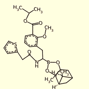 COc1c(CC(NC(=O)Cc2cccs2)B2OC3CC4C[C@H](C4(C)C)C3(C)O2)cccc1C(=O)OC(C)C